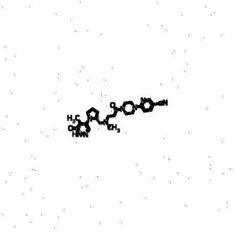 Cc1c(N2CCC[C@H]2CN(C)CCC(=O)N2CCN(c3ccc(C#N)cn3)CC2)cn[nH]c1=O